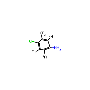 [2H]c1c([2H])c(Cl)c(C(F)(F)F)c([2H])c1N